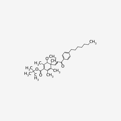 CCCCCCCc1ccc(C(=O)C=CC2(C)C(C)=C(C)C(C(=O)OC(C)(C)C)=C(C)C2OC)cc1